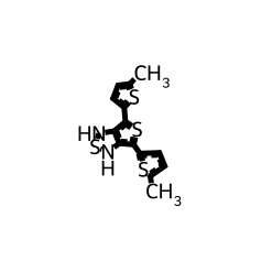 Cc1ccc(-c2sc(-c3ccc(C)s3)c3c2NSN3)s1